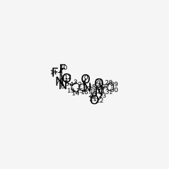 O=C1c2cc(-c3nnc(C(F)F)o3)ccc2CN1C[C@H]1COCCN1C(=O)C1CCCC1